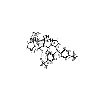 C1CCCC1.C[C@H](C1CCCC1P(c1ccc(C(F)(F)F)cc1)c1ccc(C(F)(F)F)cc1)P(C(C)(C)C)C(C)(C)C.[CH3-].[CH3-].[Fe+2]